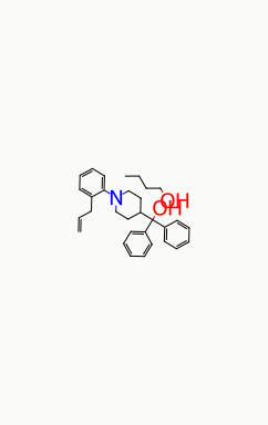 C=CCc1ccccc1N1CCC(C(O)(c2ccccc2)c2ccccc2)CC1.CCCCO